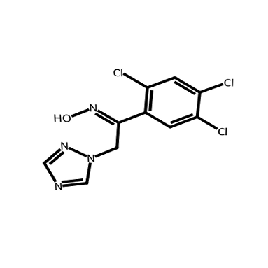 O/N=C(\Cn1cncn1)c1cc(Cl)c(Cl)cc1Cl